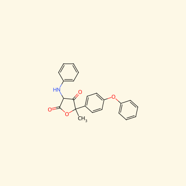 CC1(c2ccc(Oc3ccccc3)cc2)OC(=O)C(Nc2ccccc2)C1=O